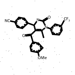 COc1ccc(C(=O)C2=C(C)N(c3cccc(C(F)(F)F)c3)C(=O)[N]C2c2ccc(C#N)cc2)cc1